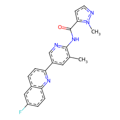 Cc1cc(-c2ccc3cc(F)ccc3n2)cnc1NC(=O)c1ccnn1C